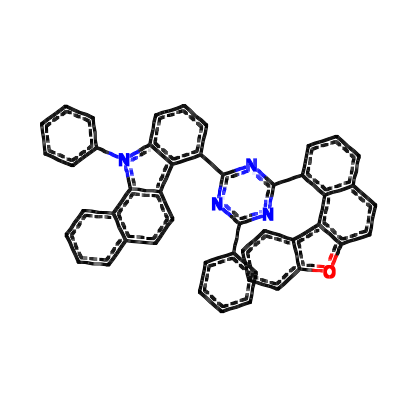 c1ccc(-c2nc(-c3cccc4ccc5oc6ccccc6c5c34)nc(-c3cccc4c3c3ccc5ccccc5c3n4-c3ccccc3)n2)cc1